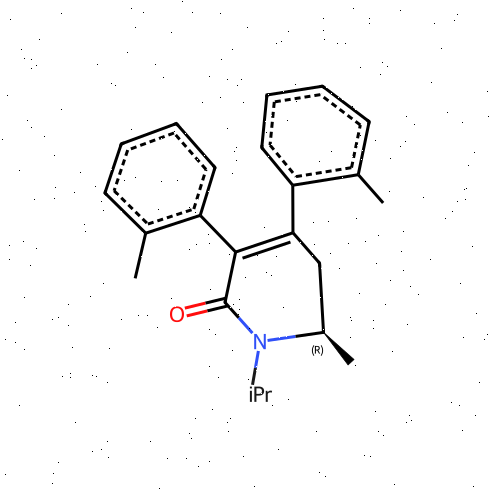 Cc1ccccc1C1=C(c2ccccc2C)C(=O)N(C(C)C)[C@H](C)C1